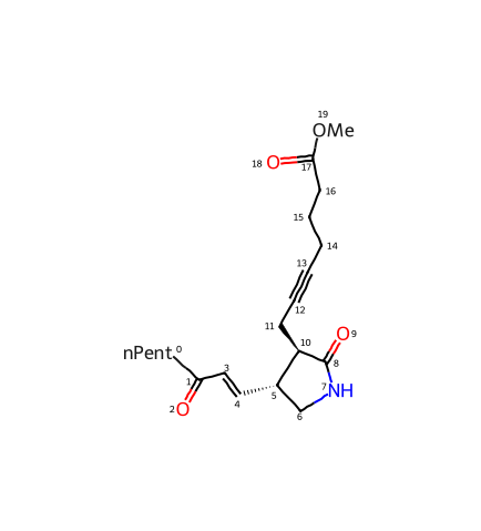 CCCCCC(=O)C=C[C@H]1CNC(=O)[C@@H]1CC#CCCCC(=O)OC